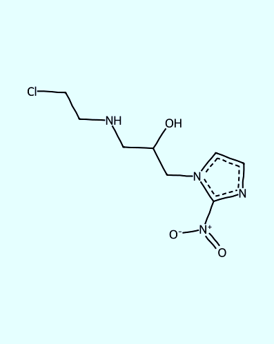 O=[N+]([O-])c1nccn1CC(O)CNCCCl